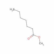 BCCCCCC(=O)OC